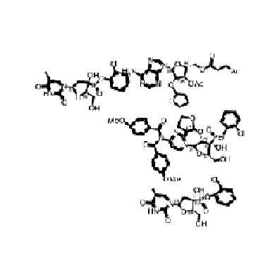 CC(=O)CCC(=O)OC[C@H]1O[C@@H](n2cnc3c(N)ncnc32)[C@H](OC2CCCO2)[C@@H]1OC(C)=O.COc1ccc(C(=O)N(C(=O)c2ccc(OC)cc2)c2ccn([C@@H]3O[C@H](CO)[C@](O)([PH](=O)Oc4ccccc4Cl)[C@H]3OC3CCCO3)c(=O)n2)cc1.Cc1cn([C@H]2C[C@@](O)([PH](=O)Oc3ccccc3Cl)[C@@H](CO)O2)c(=O)[nH]c1=O.Cc1cn([C@H]2C[C@@](O)([PH](=O)Oc3ccccc3Cl)[C@@H](CO)O2)c(=O)[nH]c1=O